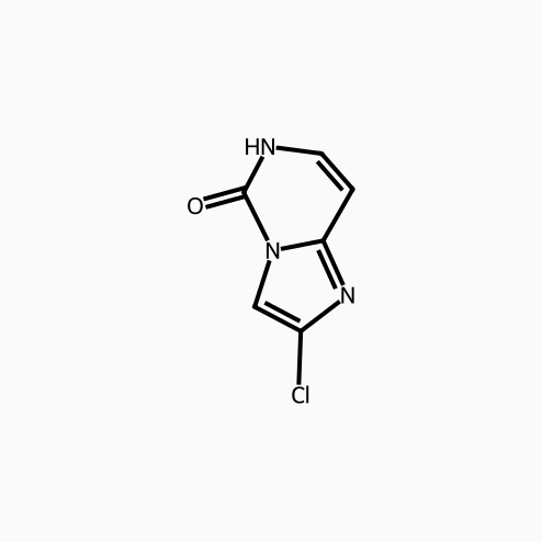 O=c1[nH]ccc2nc(Cl)cn12